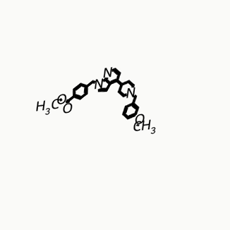 COC(=O)c1ccc(Cn2ccc3c(C4CCN(Cc5cccc(OC)c5)CC4)ccnc32)cc1